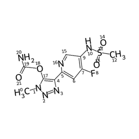 Cn1nnc(-c2cc(F)c(NS(C)(=O)=O)cn2)c1OC(N)=O